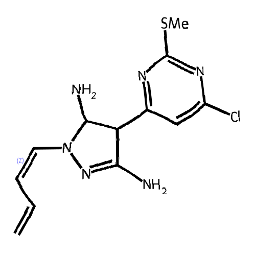 C=C/C=C\N1N=C(N)C(c2cc(Cl)nc(SC)n2)C1N